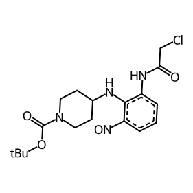 CC(C)(C)OC(=O)N1CCC(Nc2c(N=O)cccc2NC(=O)CCl)CC1